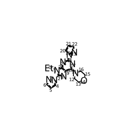 CCn1c(-n2cccn2)nc2c(N3CCOCC3)nc(-n3cccn3)nc21